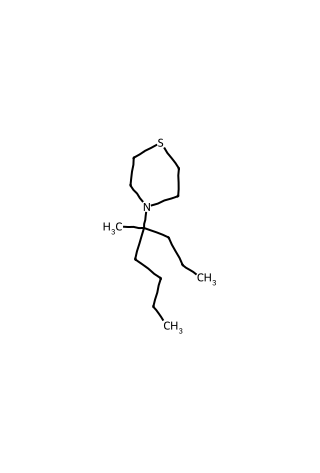 CCCCC(C)(CCC)N1CCSCC1